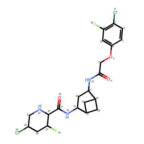 O=C(COc1ccc(Cl)c(F)c1)NC1CC(NC(=O)C2NCC(Cl)CC2F)C2CC1C2